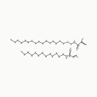 C=C(C)C(=O)OCCCCCCCCCCCCCCCCCC.C=CC(=O)OCCCCCCCCCCCCC